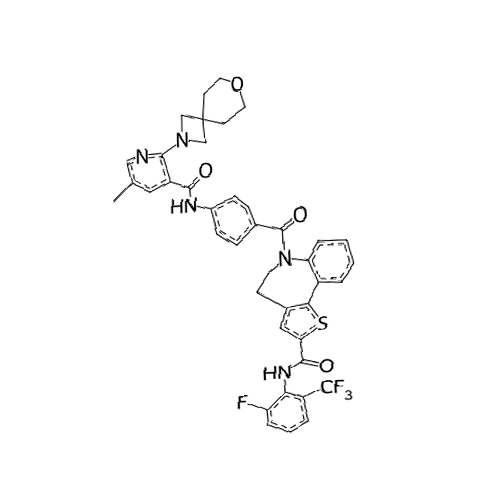 Cc1cnc(N2CC3(CCOCC3)C2)c(C(=O)Nc2ccc(C(=O)N3CCc4cc(C(=O)Nc5c(F)cccc5C(F)(F)F)sc4-c4ccccc43)cc2)c1